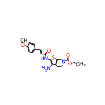 CCOC(=O)N1CCc2c(sc(NC(=O)/C=C/c3ccc(OC)cc3)c2N)C1